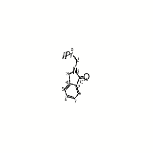 CC(C)CN1Cc2c[c]ccc2C1=O